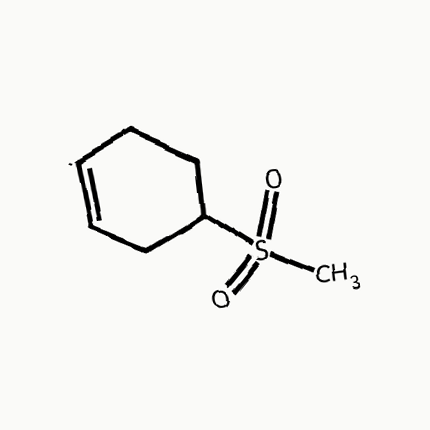 CS(=O)(=O)C1CC=[C]CC1